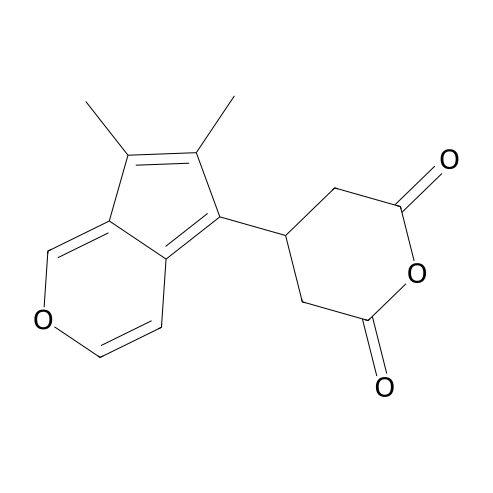 Cc1c2coccc-2c(C2CC(=O)OC(=O)C2)c1C